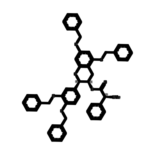 CO[C@H](C(=O)O[C@@H]1Cc2c(OCc3ccccc3)cc(OCc3ccccc3)cc2O[C@@H]1c1ccc(OCc2ccccc2)c(OCc2ccccc2)c1)c1ccccc1